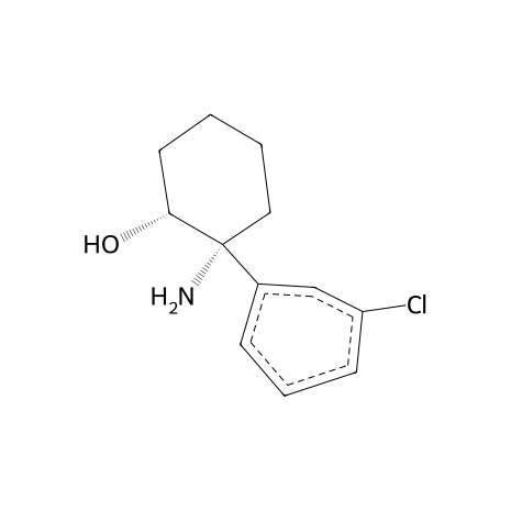 N[C@@]1(c2cccc(Cl)c2)CCCC[C@H]1O